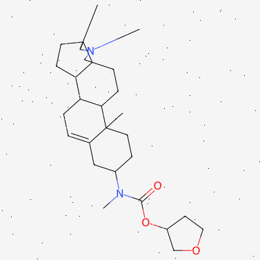 CC1C2CCC3C4CC=C5CC(N(C)C(=O)OC6CCOC6)CCC5(C)C4CCC32CN1C